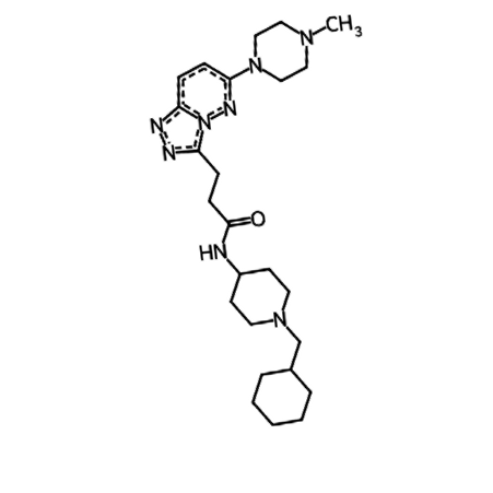 CN1CCN(c2ccc3nnc(CCC(=O)NC4CCN(CC5CCCCC5)CC4)n3n2)CC1